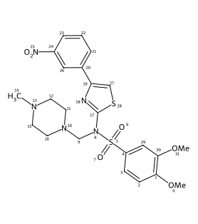 COc1ccc(S(=O)(=O)N(CN2CCN(C)CC2)c2nc(-c3cccc([N+](=O)[O-])c3)cs2)cc1OC